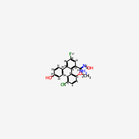 COc1ccc(Cl)cc1-c1c(/C(N)=N/O)cc(F)cc1-c1ccc(O)cc1